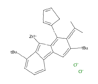 CC(C)=c1c(C(C)(C)C)cc2c(c1C1=CC=CC1)[C]([Zr+2])=c1c(C(C)(C)C)cccc1=2.[Cl-].[Cl-]